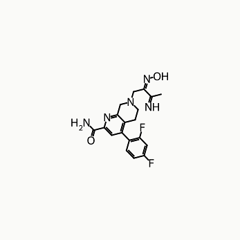 CC(=N)/C(CN1CCc2c(-c3ccc(F)cc3F)cc(C(N)=O)nc2C1)=N\O